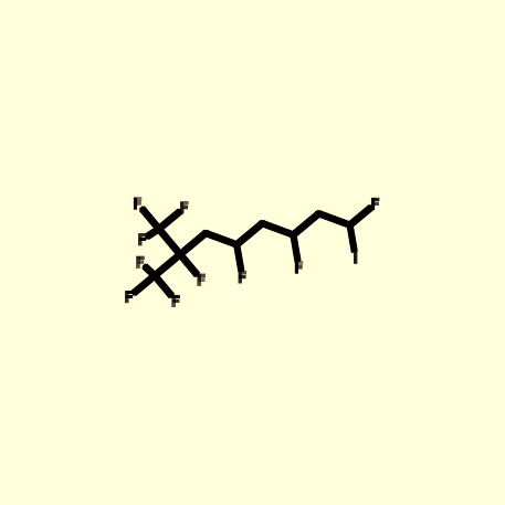 FC(I)CC(F)CC(F)CC(F)(C(F)(F)F)C(F)(F)F